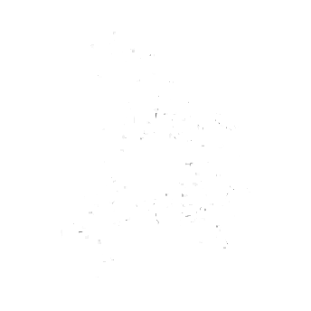 CC[C@H]1OC(=O)[C@H](C)[C@@H](O[C@H]2C[C@@](C)(OC)[C@@H](O)[C@H](C)O2)[C@H](C)[C@@H](O[C@@H]2O[C@H](C)C[C@H](N(C)CCc3cn([C@H](CF)COCc4ccc(S(C)(=O)=O)cc4)nn3)[C@H]2O)[C@](C)(O)C[C@@H](C)CN(C)[C@H](C)[C@@H](O)[C@]1(C)O